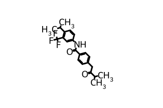 CC(C)C(=O)Cc1ccc(C(=O)Nc2ccc(C(C)C)c(C(F)(F)F)c2)cc1